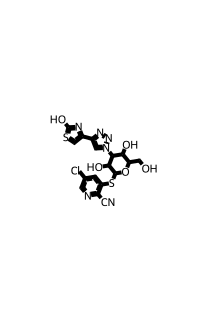 N#Cc1ncc(Cl)cc1SC1OC(CO)C(O)C(n2cc(-c3csc(O)n3)nn2)C1O